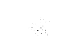 N#C[S][Cr-3]([S]C#N)([S]C#N)([S]C#N)([S]C#N)[S]C#N.[K+].[K+].[K+]